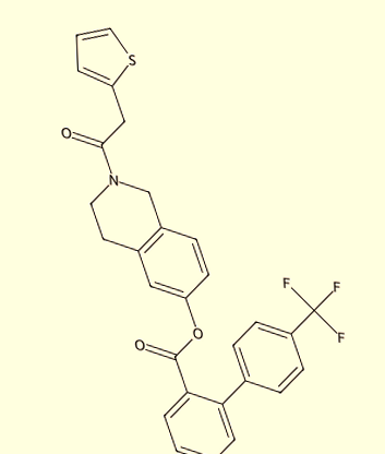 O=C(Oc1ccc2c(c1)CCN(C(=O)Cc1cccs1)C2)c1ccccc1-c1ccc(C(F)(F)F)cc1